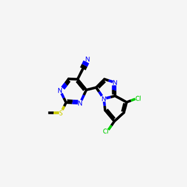 CSc1ncc(C#N)c(-c2cnc3c(Cl)cc(Cl)cn23)n1